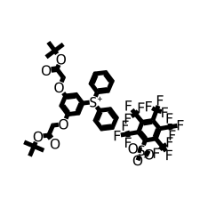 CC(C)(C)OC(=O)COc1cc(OCC(=O)OC(C)(C)C)cc([S+](c2ccccc2)c2ccccc2)c1.O=S(=O)([O-])c1c(C(F)(F)F)c(C(F)(F)F)c(C(F)(F)F)c(C(F)(F)F)c1C(F)(F)F